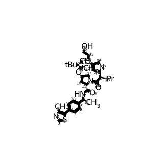 Cc1ncsc1-c1ccc([C@H](C)NC(=O)[C@@H]2C[C@@H](O[Si](C)(C)C(C)(C)C)CN2C(=O)[C@H](C(C)C)n2cc(OCCO)cn2)cc1